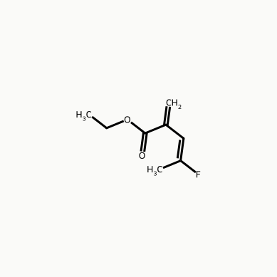 C=C(/C=C(\C)F)C(=O)OCC